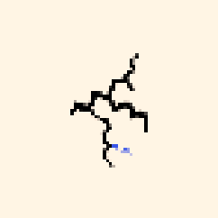 C/C=C(\C/C=C\C=C(/N)CC)CC(/C=C/CCC)C/C(C)=C\CC